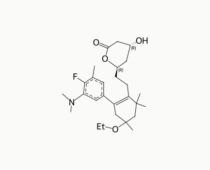 CCOC1(C)CC(c2cc(C)c(F)c(N(C)C)c2)=C(CC[C@@H]2C[C@@H](O)CC(=O)O2)C(C)(C)C1